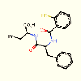 CC(C)C[C@H](NC(=O)[C@H](Cc1ccccc1)NC(=O)c1ccccc1S)C(=O)O